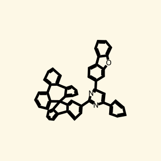 c1ccc(-c2cc(-c3ccc4c(c3)oc3ccccc34)nc(-c3ccc4c(c3)C3(c5ccccc5-c5ccccc5-c5ccccc53)c3ccccc3-4)n2)cc1